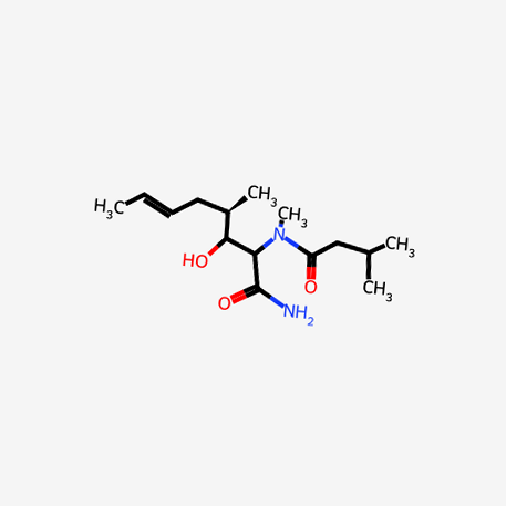 C/C=C/C[C@@H](C)C(O)C(C(N)=O)N(C)C(=O)CC(C)C